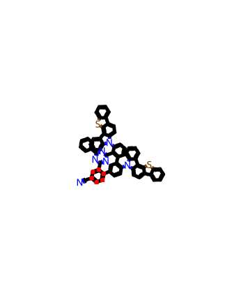 N#Cc1ccc(-c2ccc(-n3c4ccccc4c4c5sc6ccccc6c5ccc43)c(-c3cccc(-n4c5ccccc5c5c6sc7ccccc7c6ccc54)c3-c3nc(-c4ccccc4)nc(-c4ccccc4)n3)c2)cc1